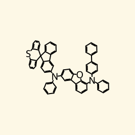 c1ccc(-c2ccc(N(c3ccccc3)c3cccc4c3oc3ccc(N(c5ccccc5)c5ccc6c(c5)-c5ccccc5C65c6ccccc6Sc6ccccc65)cc34)cc2)cc1